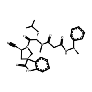 CC(C)C[C@@H](C(=O)N1C[C@]2(C[C@H]1C#N)C(=O)Nc1ccccc12)N(C)C(=O)CC(=O)N[C@H](C)c1ccccc1